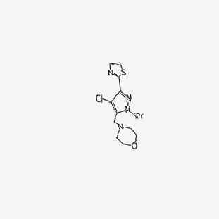 CC(C)n1nc(-c2nccs2)c(Cl)c1CN1CCOCC1